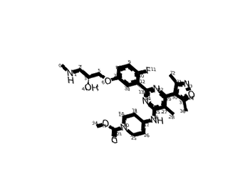 CNC[C@@H](O)COc1ccc(F)c(-c2nc(NC3CCN(C(=O)OC)CC3)c(C)c(-c3c(C)noc3C)n2)c1